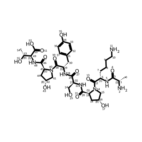 C[C@H](N)C(=O)N[C@@H](CCCCN)C(=O)N1C[C@H](O)C[C@H]1C(=O)N[C@@H](CO)C(=O)N[C@@H](Cc1ccc(O)cc1)C(=O)N1C[C@H](O)C[C@H]1C(=O)N[C@H](C(=O)O)[C@@H](C)O